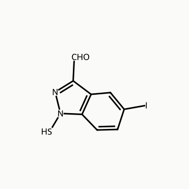 O=Cc1nn(S)c2ccc(I)cc12